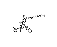 CCN1CCCC1CNc1nc(NCC2CCCCC2)nc(Nc2ccc(OCCOCCOCCO)c(F)c2)n1